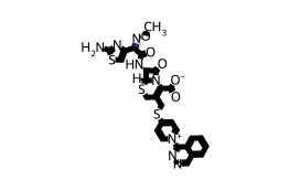 CO/N=C(\C(=O)N[C@@H]1C(=O)N2C(C(=O)[O-])=C(CSc3cc[n+](-c4nncc5ccccc45)cc3)CS[C@H]12)c1csc(N)n1